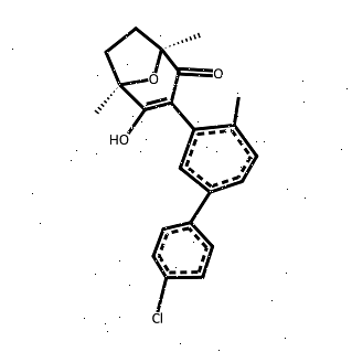 Cc1ccc(-c2ccc(Cl)cc2)cc1C1=C(O)[C@@]2(C)CC[C@](C)(O2)C1=O